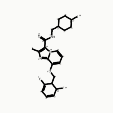 Cc1nc2c(OCC3C(F)=CC=CC3F)cccn2c1C(=O)NCC1CCC(I)CC1